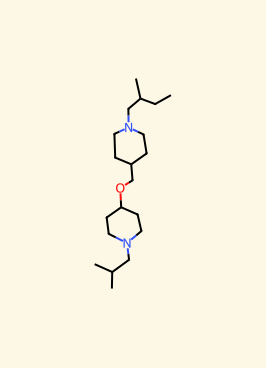 CCC(C)CN1CCC(COC2CCN(CC(C)C)CC2)CC1